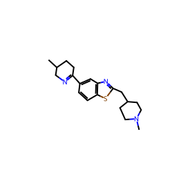 CC1CCC(c2ccc3sc(CC4CCN(C)CC4)nc3c2)=NC1